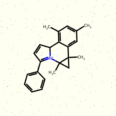 Cc1cc(C)c2c(c1)C1(C)CC1(C)[N+]1=C(c3ccccc3)C=CC21